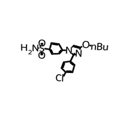 CCCCOc1cn(-c2ccc(S(N)(=O)=O)cc2)c(-c2ccc(Cl)cc2)n1